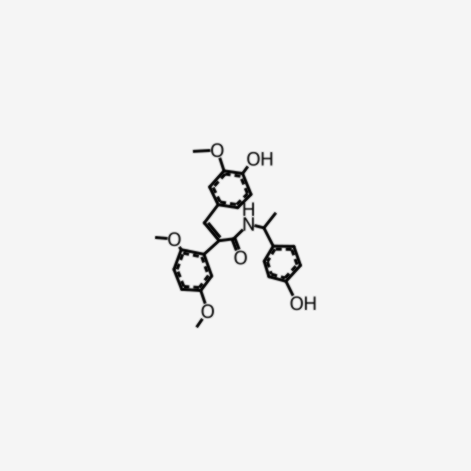 COc1ccc(OC)c(/C(=C/c2ccc(O)c(OC)c2)C(=O)NC(C)c2ccc(O)cc2)c1